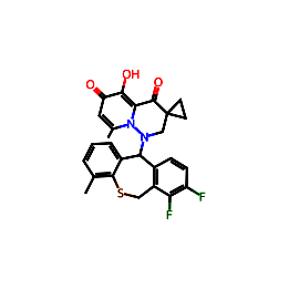 Cc1cccc2c1SCc1c(ccc(F)c1F)C2N1CC2(CC2)C(=O)c2c(O)c(=O)cc(C)n21